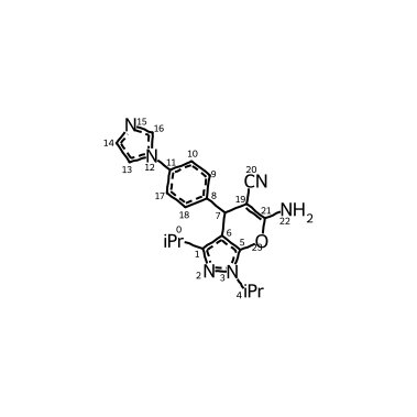 CC(C)c1nn(C(C)C)c2c1C(c1ccc(-n3ccnc3)cc1)C(C#N)=C(N)O2